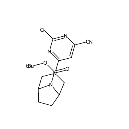 CC(C)(C)OC(=O)N1C2CCC1CN(c1cc(C#N)nc(Cl)n1)C2